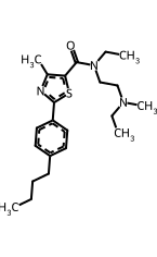 CCCCc1ccc(-c2nc(C)c(C(=O)N(CC)CCN(C)CC)s2)cc1